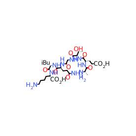 CC[C@H](C)[C@H](NC(=O)[C@H](CCC(N)=O)NC(=O)CNC(=O)[C@@H](NC(=O)[C@H](CCC(=O)O)NC(=O)[C@H](C)N)[C@@H](C)O)C(=O)N[C@@H](CCCCN)C(=O)O